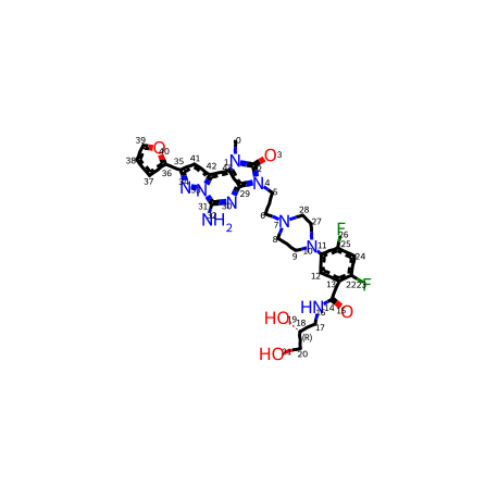 Cn1c(=O)n(CCN2CCN(c3cc(C(=O)NC[C@@H](O)CO)c(F)cc3F)CC2)c2nc(N)n3nc(-c4ccco4)cc3c21